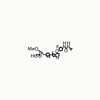 COCCN(CCc1ccc(-c2cc3nccc(Oc4ccc(NC(=O)NC5CC5)cc4F)c3s2)nc1)C(=O)CO